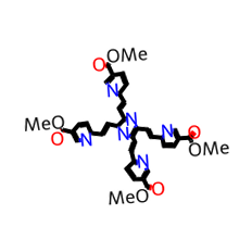 COC(=O)c1ccc(C=Cc2nc(C=Cc3ccc(C(=O)OC)cn3)c(C=Cc3ccc(C(=O)OC)cn3)nc2C=Cc2ccc(C(=O)OC)cn2)nc1